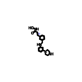 O=C(/C=C/c1cccc(CNc2cccc(N3CCNCC3)c2)c1)NO